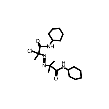 CC(C)(N=NC(C)(Cl)C(=O)NC1CCCCC1)C(=O)NC1CCCCC1